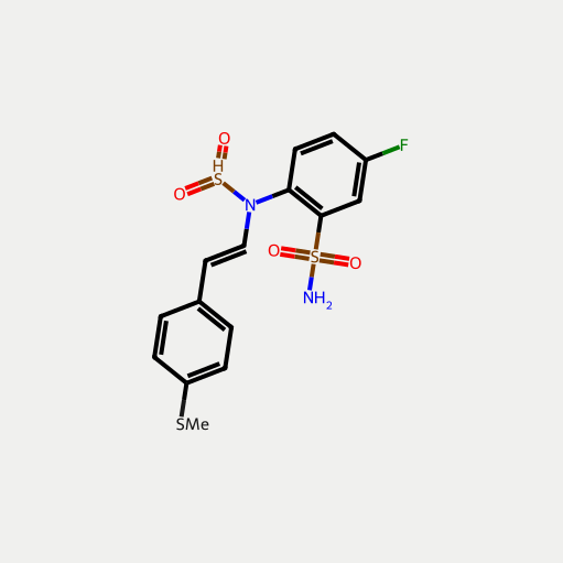 CSc1ccc(C=CN(c2ccc(F)cc2S(N)(=O)=O)[SH](=O)=O)cc1